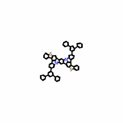 c1ccc(-c2cc(-c3ccccc3)cc(-c3ccc4c5c6c(cc7c8cc9c(cc8n(c4c3)c75)c3cc4sc5ccccc5c4c4c5ccc(-c7cc(-c8ccccc8)cc(-c8ccccc8)c7)cc5n9c34)sc3ccccc36)c2)cc1